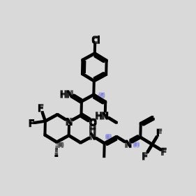 C=C/C(=N\C=C(/C)NCC1[C@H](C)CC(F)(F)CN1C(=O)C(=N)/C(=C\NC)c1ccc(Cl)cc1)C(F)(F)F